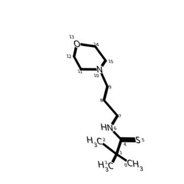 CC(C)(C)C(=S)NCCCN1CCOCC1